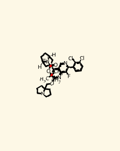 CC(C)(C)OC(=O)N1[C@@H]2CC[C@H]1CN(c1nc(OCC34CCCN3CCC4)nc3c(F)c(-c4cccc(Cl)c4Cl)ncc13)C2